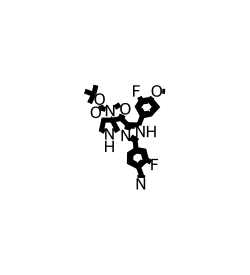 COc1ccc(-c2[nH]c(-c3ccc(C#N)c(F)c3)nc2C(=O)[C@]2(N(C)C(=O)OC(C)(C)C)CCNC2)cc1F